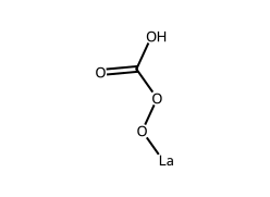 O=C(O)O[O][La]